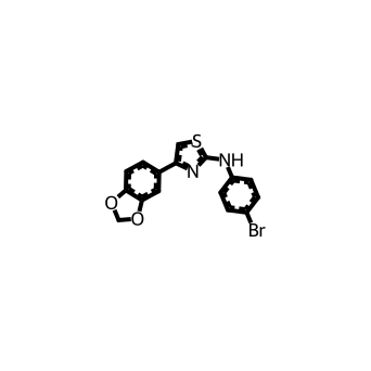 Brc1ccc(Nc2nc(-c3ccc4c(c3)OCO4)cs2)cc1